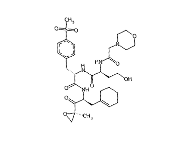 C[C@]1(C(=O)[C@H](CC2=CCCCC2)NC(=O)[C@H](Cc2ccc(S(C)(=O)=O)cc2)NC(=O)[C@H](CCO)NC(=O)CN2CCOCC2)CO1